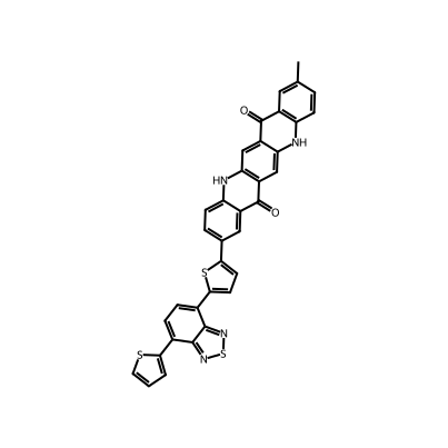 Cc1ccc2[nH]c3cc4c(=O)c5cc(-c6ccc(-c7ccc(-c8cccs8)c8nsnc78)s6)ccc5[nH]c4cc3c(=O)c2c1